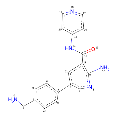 NCc1ccc(-c2cnc(N)c(C(=O)Nc3ccncc3)c2)cc1